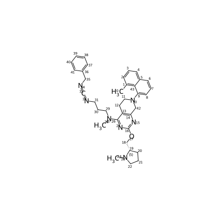 Cc1cccc2cccc(N3CCc4c(nc(OC[C@@H]5CCCN5C)nc4N(C)CCCN=C=NCc4ccccc4)C3)c12